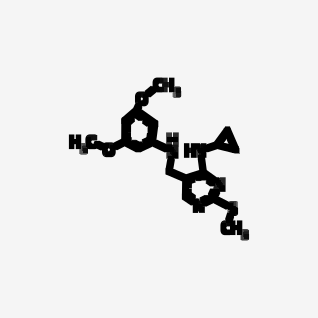 COc1cc(NCc2cnc(SC)nc2NC2CC2)cc(OC)c1